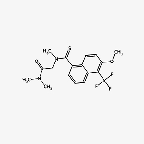 COc1ccc2c(C(=S)N(C)CC(=O)N(C)C)cccc2c1C(F)(F)F